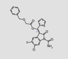 NC(=O)N1C(=O)/C(=C(/OC(=O)COCc2ccccc2)c2cccs2)c2cc(F)c(Cl)cc21